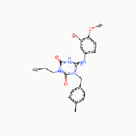 CC(=O)CCn1c(=O)[nH]/c(=N\c2ccc(OC(C)C)c(Br)c2)n(Cc2ccc(C)cc2)c1=O